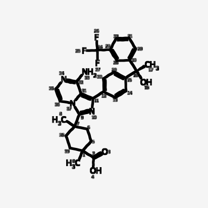 CC1(C(=O)O)CCC(C)(c2nc(-c3ccc([C@@](C)(O)c4cccc(C(F)(F)F)c4)cc3)c3c(N)nccn23)CC1